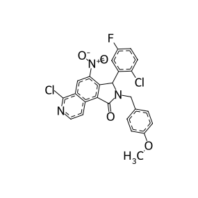 COc1ccc(CN2C(=O)c3c(c([N+](=O)[O-])cc4c(Cl)nccc34)C2c2cc(F)ccc2Cl)cc1